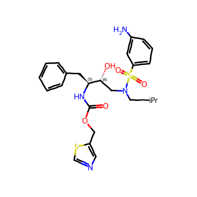 CC(C)CN(C[C@@H](O)[C@H](Cc1ccccc1)NC(=O)OCc1cncs1)S(=O)(=O)c1cccc(N)c1